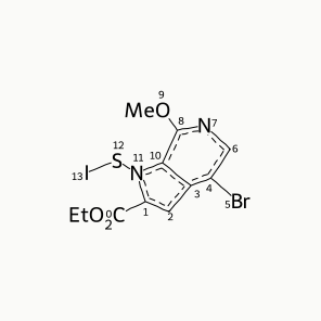 CCOC(=O)c1cc2c(Br)cnc(OC)c2n1SI